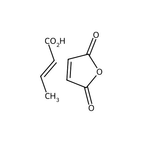 CC=CC(=O)O.O=C1C=CC(=O)O1